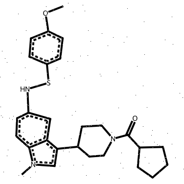 COc1ccc(SNc2ccc3c(c2)c(C2CCN(C(=O)C4CCCC4)CC2)cn3C)cc1